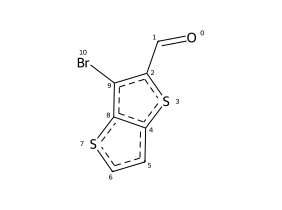 O=Cc1sc2ccsc2c1Br